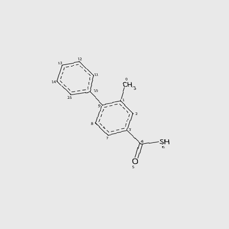 Cc1cc(C(=O)S)ccc1-c1ccccc1